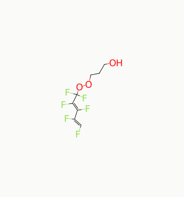 OCCCOOC(F)(F)/C(F)=C(F)/C(F)=C/F